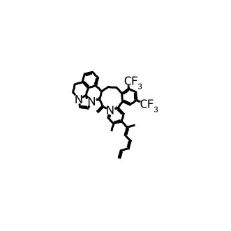 C=C/C=C\C=C(/C)c1cc2[n+](cc1C)C(=C)C1C(CCc3c-2cc(C(F)(F)F)cc3C(F)(F)F)c2cccc3c2-c2n(cc[n+]21)CC3